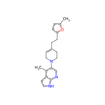 Cc1ccc(CCC2=CCN(c3cnc4[nH]ccc4c3C)CC2)o1